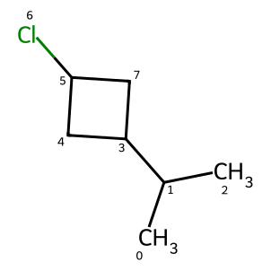 CC(C)C1CC(Cl)C1